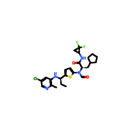 CC[C@@H](Nc1cc(Cl)cnc1C)c1ccc(N(C=O)[C@@H](CC2CCCC2)C(=O)N[C@H]2CC2(F)F)s1